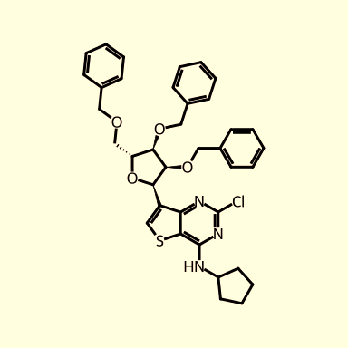 Clc1nc(NC2CCCC2)c2scc([C@H]3O[C@H](COCc4ccccc4)[C@@H](OCc4ccccc4)[C@H]3OCc3ccccc3)c2n1